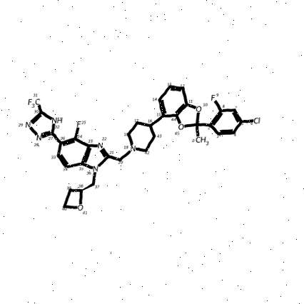 CC1(c2ccc(Cl)cc2F)Oc2cccc(C3CCN(Cc4nc5c(F)c(-c6nnc(C(F)(F)F)[nH]6)ccc5n4C[C@@H]4CCO4)CC3)c2O1